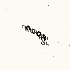 CN1C[C@H]2CCN(c3ccc(N4CCN(c5ccc(Cl)nn5)CC4)cc3)[C@H]2C1